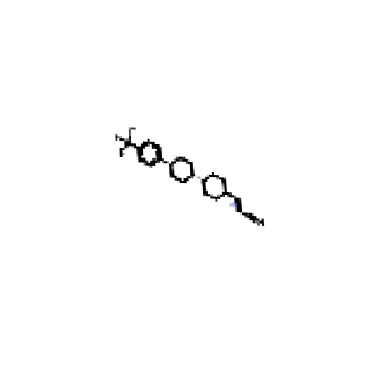 N#C/C=C/C1CCC([C@H]2CC[C@H](c3ccc(C(F)(F)F)cc3)CC2)CC1